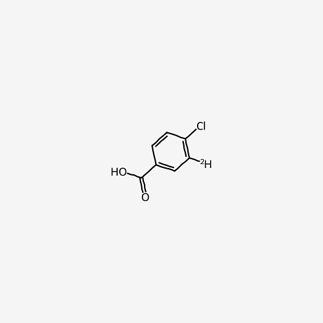 [2H]c1cc(C(=O)O)ccc1Cl